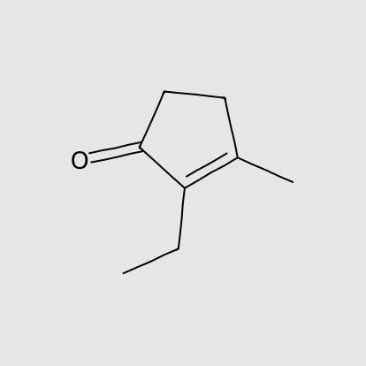 CCC1=C(C)CCC1=O